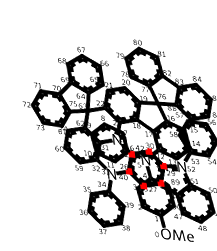 COc1ccc(N(c2ccccc2)c2cccc3c2-c2c(ccc4c2N(c2ccccc2)c2c(N(c5ccccc5)c5ccc6c(c5)c5ccccc5n6-c5ccccc5)cccc2C42c4ccccc4-c4ccccc42)C32c3ccccc3-c3ccccc32)cc1